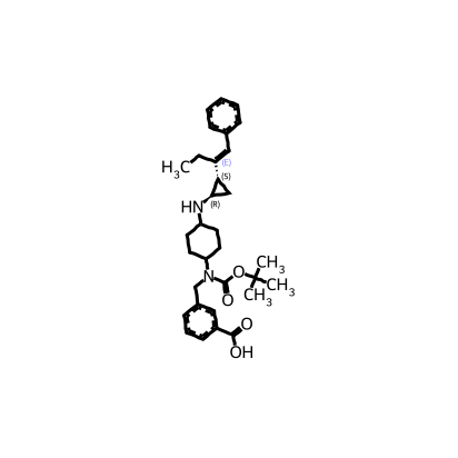 CC/C(=C\c1ccccc1)[C@@H]1C[C@H]1NC1CCC(N(Cc2cccc(C(=O)O)c2)C(=O)OC(C)(C)C)CC1